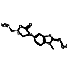 CCON=c1sc2cc(N3C[C@H](CNC(C)=O)OC3=O)ccc2n1C